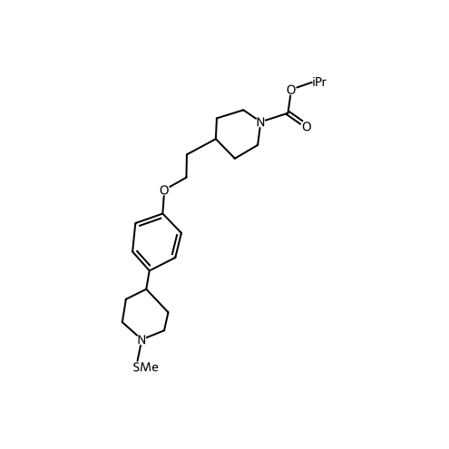 CSN1CCC(c2ccc(OCCC3CCN(C(=O)OC(C)C)CC3)cc2)CC1